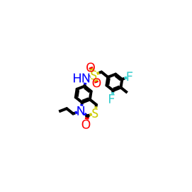 CCCN1C(=O)SCc2cc(NS(=O)(=O)Cc3cc(F)c(C)c(F)c3)ccc21